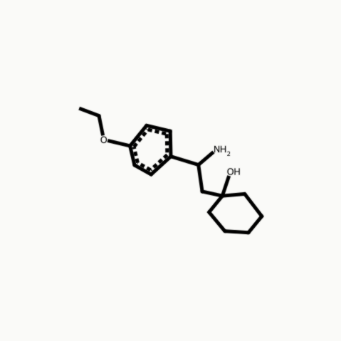 CCOc1ccc(C(N)CC2(O)CCCCC2)cc1